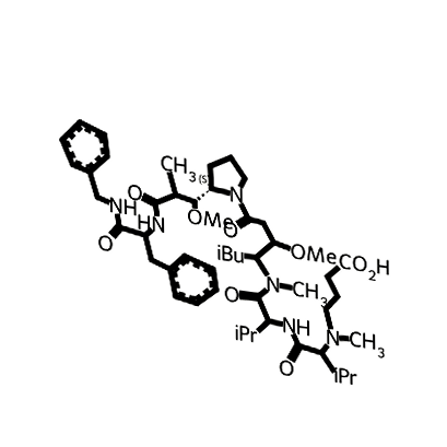 CCC(C)C(C(CC(=O)N1CCC[C@H]1C(OC)C(C)C(=O)NC(Cc1ccccc1)C(=O)NCc1ccccc1)OC)N(C)C(=O)C(NC(=O)C(C(C)C)N(C)CCCC(=O)O)C(C)C